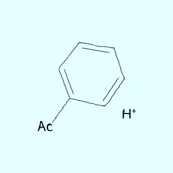 CC(=O)c1ccccc1.[H+]